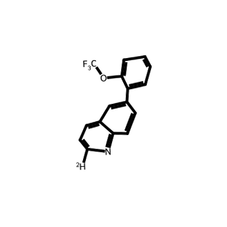 [2H]c1ccc2cc(-c3ccccc3OC(F)(F)F)ccc2n1